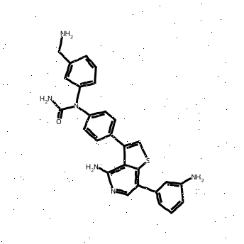 NCc1cccc(N(C(N)=O)c2ccc(-c3csc4c(-c5cccc(N)c5)cnc(N)c34)cc2)c1